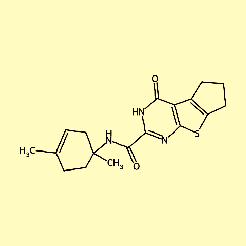 CC1=CCC(C)(NC(=O)c2nc3sc4c(c3c(=O)[nH]2)CCC4)CC1